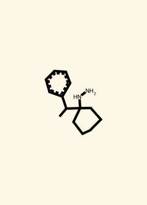 CC(c1ccccc1)C1(NN)CCCCC1